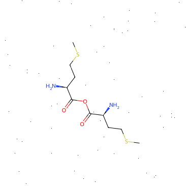 CSCC[C@H](N)C(=O)OC(=O)[C@@H](N)CCSC